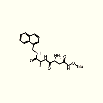 C[C@H](NC(=O)[C@@H](N)CC(=O)NOC(C)(C)C)C(=O)NCc1cccc2ccccc12